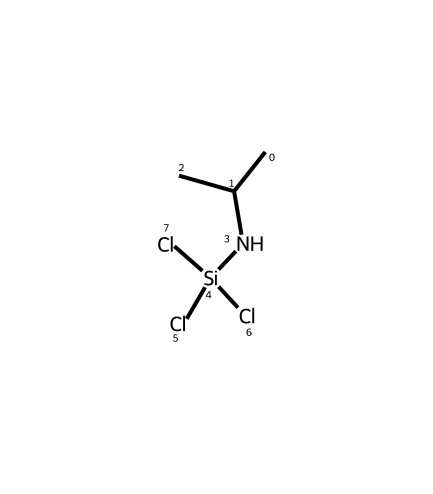 CC(C)N[Si](Cl)(Cl)Cl